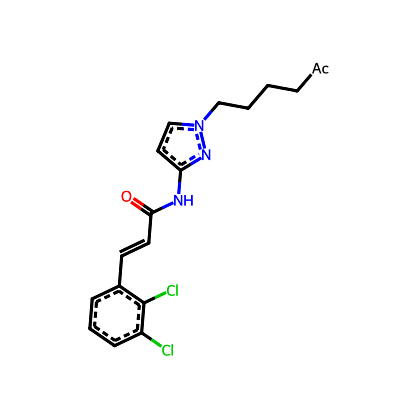 CC(=O)CCCCn1ccc(NC(=O)C=Cc2cccc(Cl)c2Cl)n1